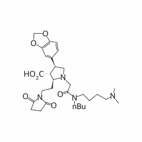 CCCCN(CCCCN(C)C)C(=O)CN1C[C@H](c2ccc3c(c2)OCO3)[C@@H](C(=O)O)[C@@H]1CCN1C(=O)CCC1=O